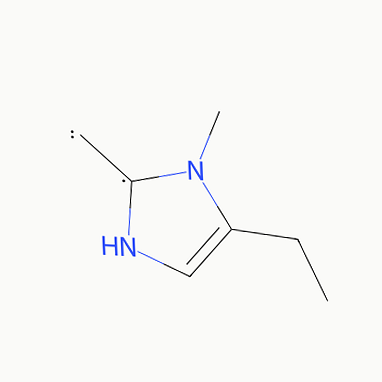 [CH][C]1NC=C(CC)N1C